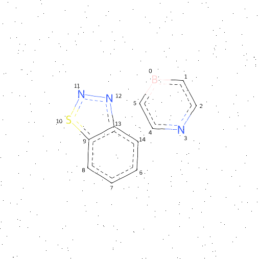 b1ccncc1.c1ccc2snnc2c1